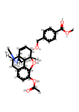 COC(=O)c1ccc(CO[C@H]2C=C[C@H]3[C@H]4Cc5ccc(OC(C)=O)c6c5[C@@]3(CCN4C)[C@H]2O6)cc1